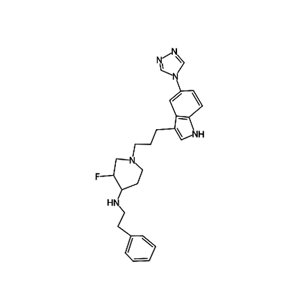 FC1CN(CCCc2c[nH]c3ccc(-n4cnnc4)cc23)CCC1NCCc1ccccc1